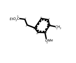 CCOC(=O)CCc1ccc(C)c(OC)c1